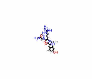 Cc1cc(O)cc(C)c1C[C@H](NC=O)C(=O)NC(CCCNC(=N)N)C(=O)NCC(N)=O